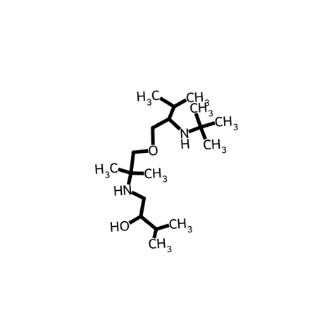 CC(C)C(O)CNC(C)(C)COCC(NC(C)(C)C)C(C)C